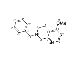 COc1ncnc2c1CCN(Cc1ccccc1)C2